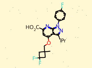 CC(C)c1nn(-c2ccc(F)cc2)c2nc(C(=O)O)cc(OCC3(C)CC(F)(F)C3)c12